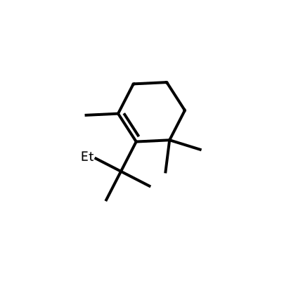 CCC(C)(C)C1=C(C)CCCC1(C)C